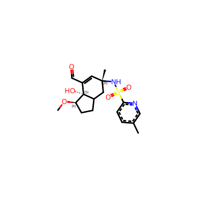 CO[C@@H]1CCC2C[C@@](C)(NS(=O)(=O)c3ccc(C)cn3)C=C(C=O)[C@@]21O